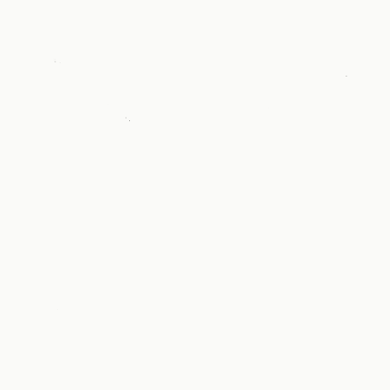 CCC(C)c1ccc(N(c2ccc(CCCCc3ccc(Br)cc3)cc2)c2ccc(CCCCc3ccc(Br)cc3)cc2)cc1